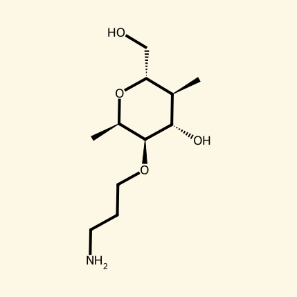 C[C@H]1[C@H](O)[C@@H](OCCCN)[C@@H](C)O[C@@H]1CO